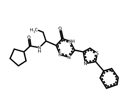 CCC(NC(=O)C1CCCC1)c1nnc(-c2csc(-c3ccccc3)n2)[nH]c1=O